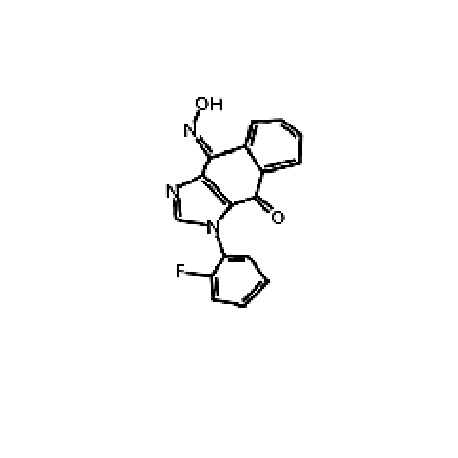 O=C1c2ccccc2/C(=N\O)c2ncn(-c3ccccc3F)c21